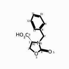 O=C(O)[C@H]1COC(=O)N1Cc1ccccc1